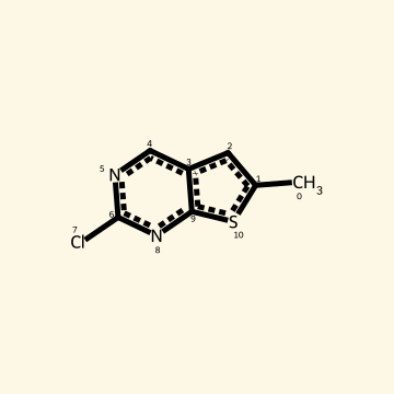 Cc1cc2cnc(Cl)nc2s1